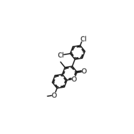 COc1ccc2c(C)c(-c3ccc(Cl)cc3Cl)c(=O)oc2c1